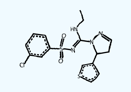 CCN/C(=N\S(=O)(=O)c1cccc(Cl)c1)N1N=CCC1c1ccsc1